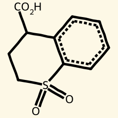 O=C(O)C1CCS(=O)(=O)c2ccccc21